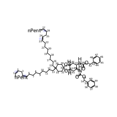 CCCCC/C=C\C/C=C\CCCCCCCCC1(CCCCCCCC/C=C\C/C=C\CCCCC)CCC2(CC1)O[C@H]1CC(NC(=O)OCc3ccccc3)[C@@H](NC(=O)OCc3ccccc3)C[C@H]1O2